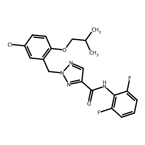 CC(C)COc1ccc(Cl)cc1Cn1ncc(C(=O)Nc2c(F)cccc2F)n1